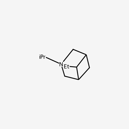 CCC1C2CC1CN(C(C)C)C2